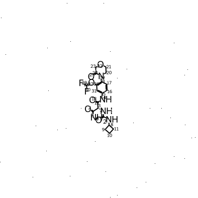 NC(=O)[C@@H](NC(=O)NC1CCC1)C(=O)Nc1ccc(N2CCOCC2=O)c(OC(F)F)c1